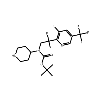 CC(C)(C)OC(=O)N(CC(F)(F)c1ncc(C(F)(F)F)cc1F)C1CCNCC1